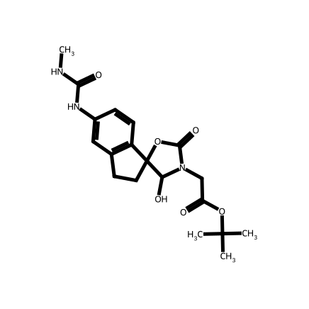 CNC(=O)Nc1ccc2c(c1)CCC21OC(=O)N(CC(=O)OC(C)(C)C)C1O